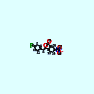 O=C1OC(=Cc2ccc(F)cc2)c2ccc([N+](=O)[O-])cc21